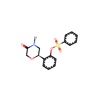 CCN1C[C@@H](c2ccccc2OS(=O)(=O)c2ccccc2)OCC1=O